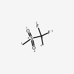 CC(F)(F)S(C)(=O)=O